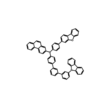 c1cc(-c2ccc(N(c3ccc(-c4ccc5c(c4)oc4ccccc45)cc3)c3ccc4c(ccc5ccccc54)c3)cc2)cc(-c2cccc(-n3c4ccccc4c4ccccc43)c2)c1